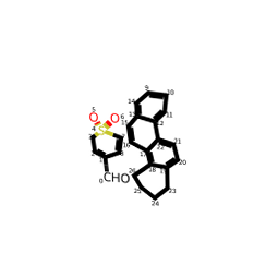 O=CC1=CCS(=O)(=O)C=C1.c1ccc2c(c1)ccc1c3c(ccc12)CCCC3